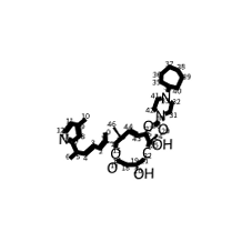 C/C(=C\C=C\C(C)c1cc(C)ccn1)[C@H]1OC(=O)C[C@H](O)CC[C@@](C)(O)[C@@H](OC(=O)N2CCN(C3CCCCCC3)CC2)/C=C/[C@@H]1C